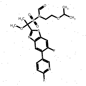 COC(C)(c1nc2cc(-c3ccc(F)nc3)c(F)cc2s1)S(=O)(=O)N([C]=O)CCOC(C)C